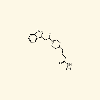 O=C(CCCC1CCN(C(=O)Cc2noc3ccccc23)CC1)NO